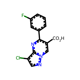 O=C(O)c1cn2ncc(Cl)c2nc1-c1cccc(F)c1